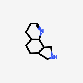 C1=NC2C(CC1)CCC1CNCC12